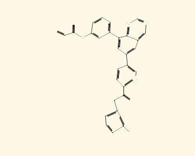 C=CC(=O)Nc1cccc(-c2cc(-c3ccc(C(=O)Cc4cccc(C(F)(F)F)c4)nc3)cc3cncnc23)c1